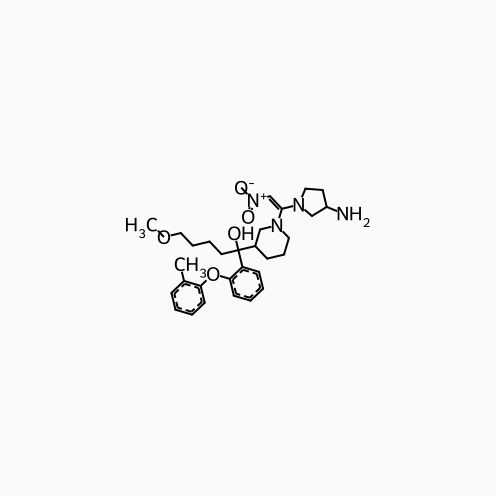 COCCCCC(O)(c1ccccc1Oc1ccccc1C)C1CCCN(/C(=C\[N+](=O)[O-])N2CCC(N)C2)C1